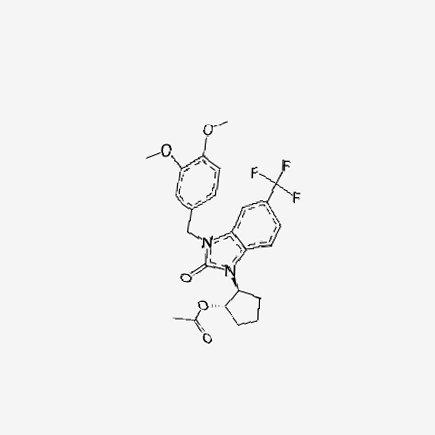 COc1ccc(Cn2c(=O)n([C@H]3CCC[C@@H]3OC(C)=O)c3ccc(C(F)(F)F)cc32)cc1OC